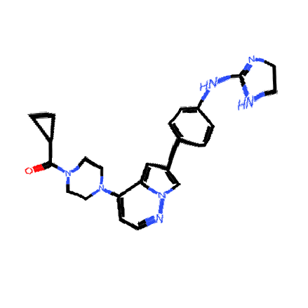 O=C(C1CC1)N1CCN(c2ccnn3cc(-c4ccc(NC5=NCCN5)cc4)cc23)CC1